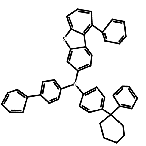 c1ccc(-c2ccc(N(c3ccc(C4(c5ccccc5)CCCCC4)cc3)c3ccc4c(c3)sc3cccc(-c5ccccc5)c34)cc2)cc1